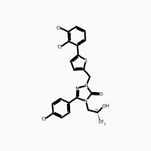 O=c1n(Cc2ccc(-c3cccc(Cl)c3Cl)s2)nc(-c2ccc(Cl)cc2)n1C[C@H](O)C(F)(F)F